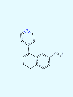 O=C(O)c1ccc2c(c1)C(c1ccncc1)=CCC2